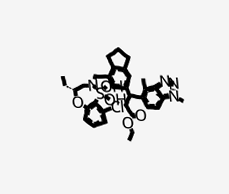 CCOC(=O)CC(c1cc2c(c(CN3C[C@@H](CC)Oc4cccc(Cl)c4S3(O)O)c1)CCC2)c1ccc2c(nnn2C)c1C